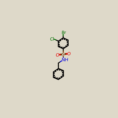 O=S(=O)(NCc1ccccc1)c1ccc(Br)c(Cl)c1